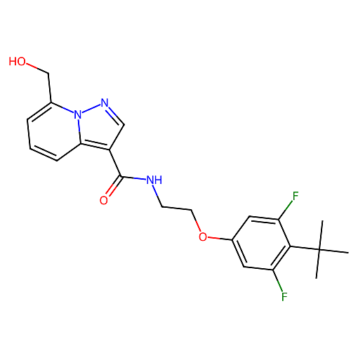 CC(C)(C)c1c(F)cc(OCCNC(=O)c2cnn3c(CO)cccc23)cc1F